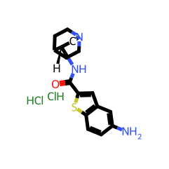 Cl.Cl.Nc1ccc2sc(C(=O)N[C@H]3CN4CCC3CC4)cc2c1